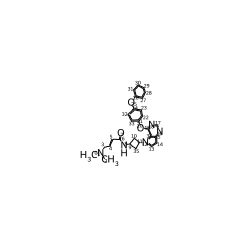 CN(C)C/C=C/C(=O)N[C@H]1C[C@H](n2ccc3ncnc(Oc4ccc(Oc5ccccc5)cc4)c32)C1